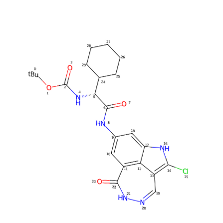 CC(C)(C)OC(=O)N[C@@H](C(=O)Nc1cc2c3c(c(Cl)[nH]c3c1)C=NNC2=O)C1CCCCC1